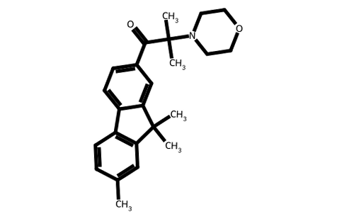 Cc1ccc2c(c1)C(C)(C)c1cc(C(=O)C(C)(C)N3CCOCC3)ccc1-2